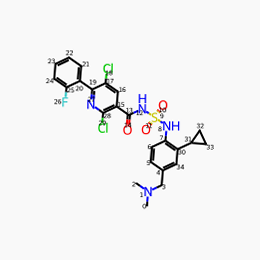 CN(C)Cc1ccc(NS(=O)(=O)NC(=O)c2cc(Cl)c(-c3ccccc3F)nc2Cl)c(C2CC2)c1